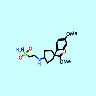 COC(=O)C1(c2ccc(OC)cc2)CCC(NCCS(N)(=O)=O)CC1